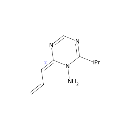 C=C/C=C1/N=CN=C(C(C)C)N1N